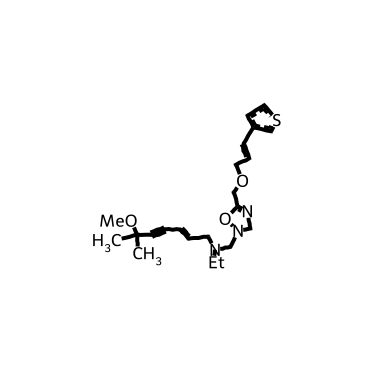 CCN(CC=CC#CC(C)(C)OC)CN1CN=C(COCC=Cc2ccsc2)O1